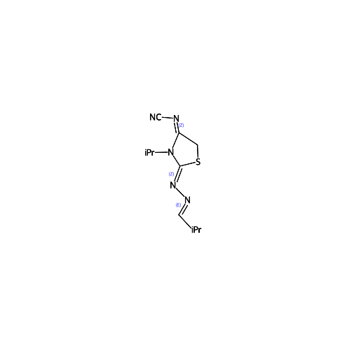 CC(C)/C=N/N=C1\SC/C(=N/C#N)N1C(C)C